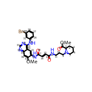 COC(=O)C1CCCCN1CCCNC(=O)/C=C/C(=O)Nc1cc2c(Nc3cccc(Br)c3)ncnc2cc1OC